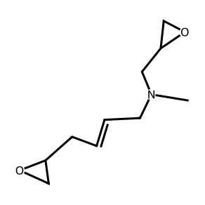 CN(CC=CCC1CO1)CC1CO1